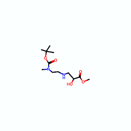 COC(=O)C(O)CNCCN(C)C(=O)OC(C)(C)C